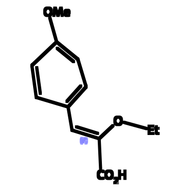 CCO/C(=C\c1ccc(OC)cc1)C(=O)O